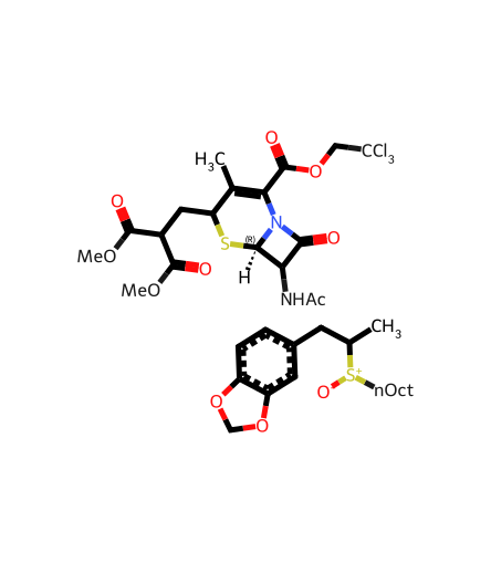 CCCCCCCC[S+]([O-])C(C)Cc1ccc2c(c1)OCO2.COC(=O)C(CC1S[C@@H]2C(NC(C)=O)C(=O)N2C(C(=O)OCC(Cl)(Cl)Cl)=C1C)C(=O)OC